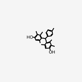 Cc1ccc(C(c2c(C)cc(O)c(C)c2C)c2c(C)cc(O)c(C)c2C)cc1